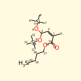 CC(=CC(O[Si](C)(C)C)O[Si](C)(C)C)C(=O)OCCC[SiH3]